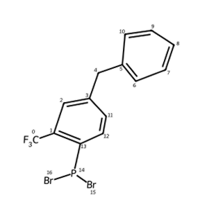 FC(F)(F)c1cc(Cc2ccccc2)ccc1P(Br)Br